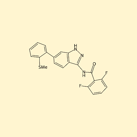 CSc1ccccc1-c1ccc2c(NC(=O)c3c(F)cccc3F)n[nH]c2c1